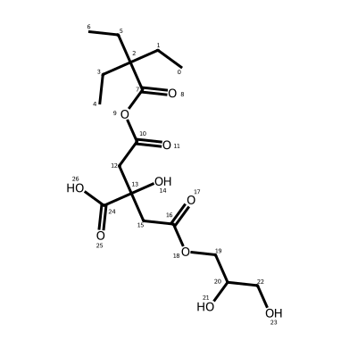 CCC(CC)(CC)C(=O)OC(=O)CC(O)(CC(=O)OCC(O)CO)C(=O)O